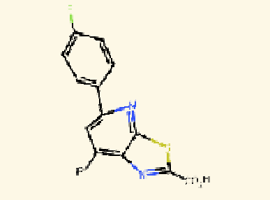 CC(C)c1cc(-c2ccc(F)cc2)nc2sc(C(=O)O)nc12